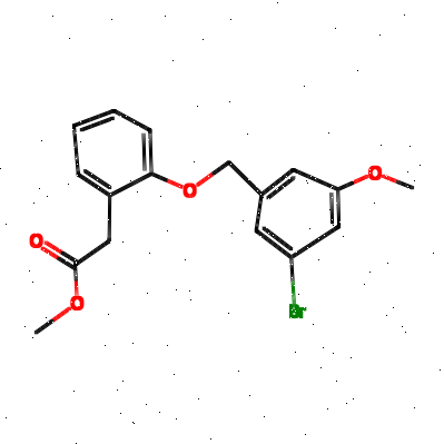 COC(=O)Cc1ccccc1OCc1cc(Br)cc(OC)c1